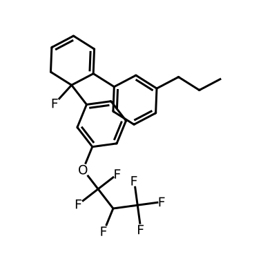 CCCc1cccc(C2=CC=CCC2(F)c2cccc(OC(F)(F)C(F)C(F)(F)F)c2)c1